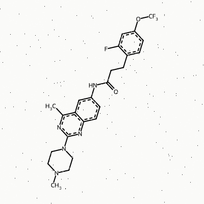 Cc1nc(N2CCN(C)CC2)nc2ccc(NC(=O)CCc3ccc(OC(F)(F)F)cc3F)cc12